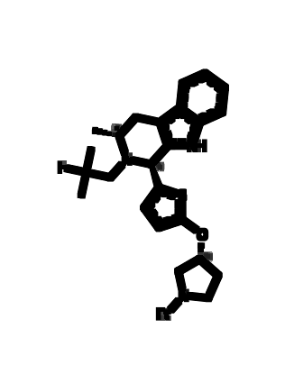 CCN1CC[C@@H](Oc2ccc([C@@H]3c4[nH]c5ccccc5c4C[C@@H](C)N3CC(C)(C)F)s2)C1